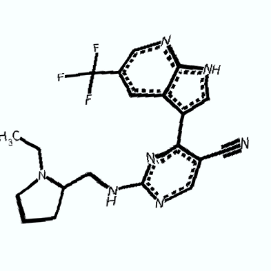 CCN1CCCC1CNc1ncc(C#N)c(-c2c[nH]c3ncc(C(F)(F)F)cc23)n1